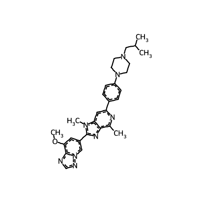 COc1cc(-c2nc3c(C)nc(-c4ccc(N5CCN(CC(C)C)CC5)cc4)cc3n2C)cn2ncnc12